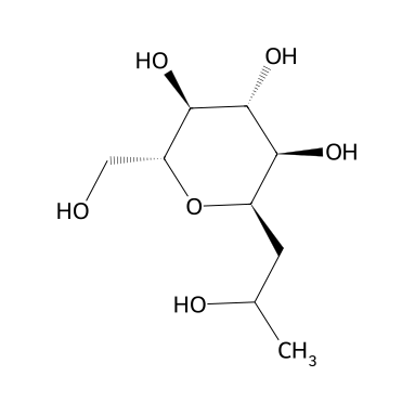 CC(O)C[C@H]1O[C@H](CO)[C@@H](O)[C@H](O)[C@H]1O